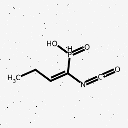 CCC=C(N=C=O)[PH](=O)O